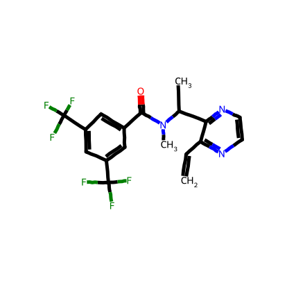 C=Cc1nccnc1C(C)N(C)C(=O)c1cc(C(F)(F)F)cc(C(F)(F)F)c1